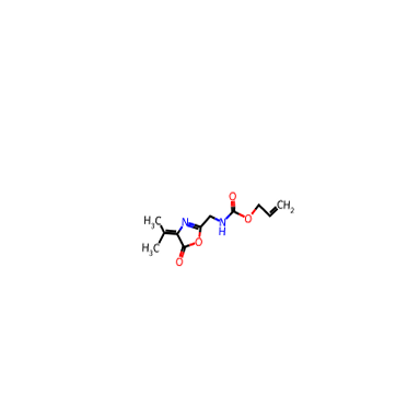 C=CCOC(=O)NCC1=NC(=C(C)C)C(=O)O1